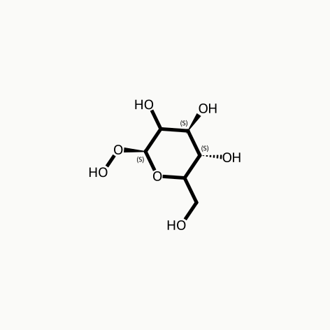 OCC1O[C@@H](OO)C(O)[C@@H](O)[C@@H]1O